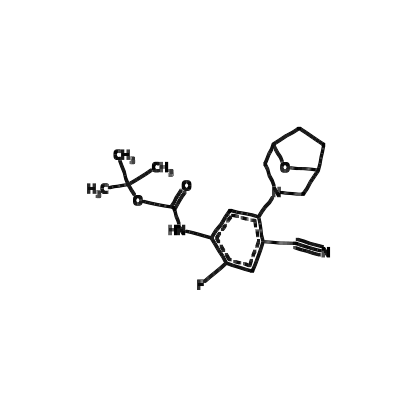 CC(C)(C)OC(=O)Nc1cc(N2CC3CCC(C2)O3)c(C#N)cc1F